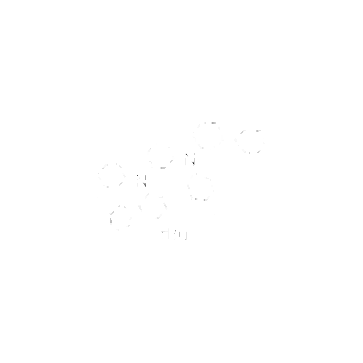 Cc1cc2c3c(c1)N(c1cccc4c1-c1ccccc1C4)c1ccc(C(C)(C)C)cc1C3c1cc3c(cc1N2c1cc(-c2ccccc2)ccc1C)C(C)(C)CC3(C)C